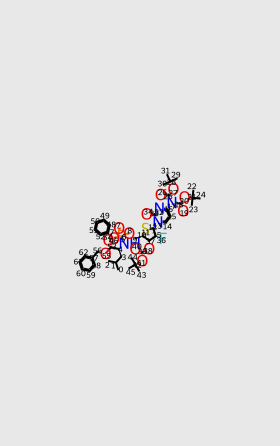 CC(C)C[C@H](NP(=O)(OC[C@H]1S[C@@H](n2ccc(N(C(=O)OC(C)(C)C)C(=O)OC(C)(C)C)nc2=O)[C@@H](F)[C@@H]1OC(=O)OC(C)(C)C)Oc1ccccc1)C(=O)OCc1ccccc1